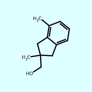 Cc1cccc2c1CC(C)(CO)C2